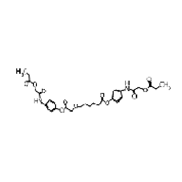 CCC(=O)OCC(=O)Nc1ccc(OC(=O)CCCCCOCC(=O)Oc2ccc(NC(=O)COC(=O)CC)cc2)cc1